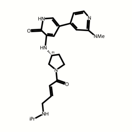 CNc1cc(-c2c[nH]c(=O)c(N[C@@H]3CCN(C(=O)C=CCNC(C)C)C3)c2)ccn1